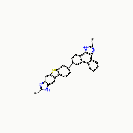 CC(C)c1nc2cc3sc4cc(-c5ccc6c(c5)c5ccccc5c5nc(C(C)C)[nH]c65)ccc4c3cc2[nH]1